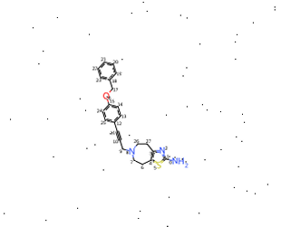 Nc1nc2c(s1)CCN(CC#Cc1ccc(OCc3ccccc3)cc1)CC2